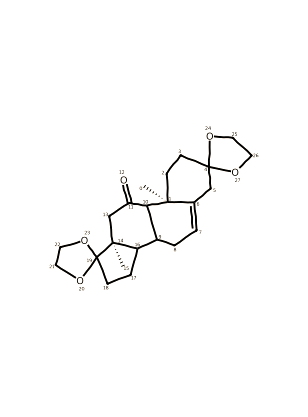 C[C@]12CCC3(CC1=CCC1C2C(=O)C[C@@]2(C)C1CCC21OCCO1)OCCO3